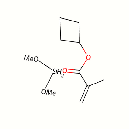 C=C(C)C(=O)OC1CCC1.CO[SiH2]OC